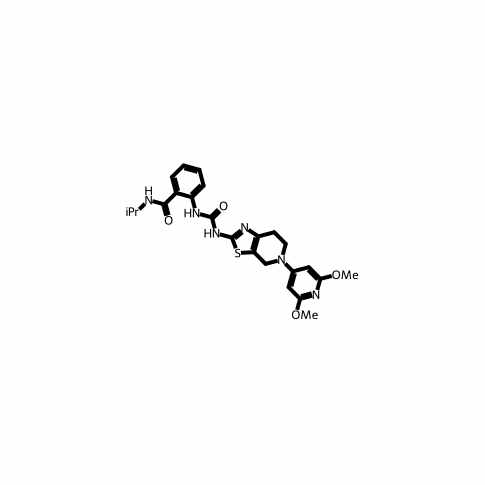 COc1cc(N2CCc3nc(NC(=O)Nc4ccccc4C(=O)NC(C)C)sc3C2)cc(OC)n1